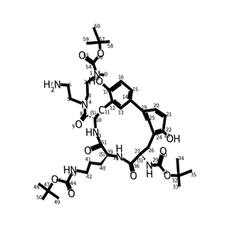 CN(CCN(CCN)C(=O)[C@@H]1Cc2cc(ccc2O)-c2ccc(O)c(c2)C[C@H](NC(=O)OC(C)(C)C)C(=O)N[C@@H](CCCNC(=O)OC(C)(C)C)C(=O)N1)C(=O)OC(C)(C)C